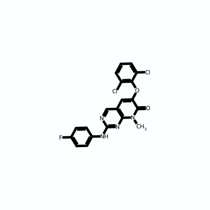 Cn1c(=O)c(Oc2c(Cl)cccc2Cl)cc2cnc(Nc3ccc(F)cc3)nc21